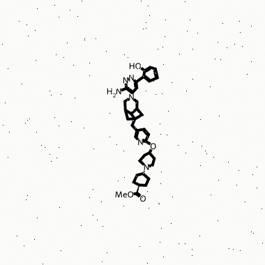 COC(=O)[C@H]1CC[C@H](N2CCC(Oc3ccc(CC45CC6CN(c7cc(-c8ccccc8O)nnc7N)CC(C4)C65)cn3)CC2)CC1